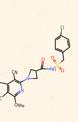 CCc1c(C#N)c(N2CC(C(=O)NS(=O)(=O)Cc3ccc(Cl)cc3)C2)nc(OC)c1C(=O)O